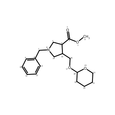 COC(=O)C1CN(Cc2ccccc2)CC1COC1CCCCO1